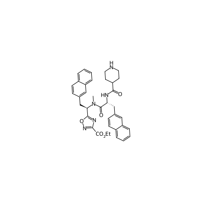 CCOC(=O)c1noc([C@@H](Cc2ccc3ccccc3c2)N(C)C(=O)[C@@H](Cc2ccc3ccccc3c2)NC(=O)C2CCNCC2)n1